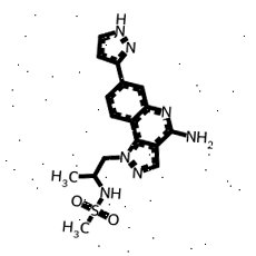 CC(Cn1ncc2c(N)nc3cc(-c4cc[nH]n4)ccc3c21)NS(C)(=O)=O